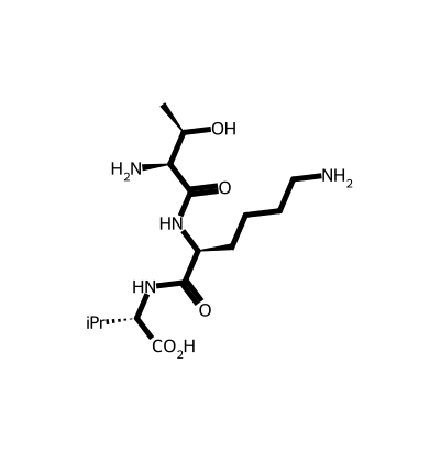 CC(C)[C@H](NC(=O)[C@H](CCCCN)NC(=O)[C@@H](N)[C@@H](C)O)C(=O)O